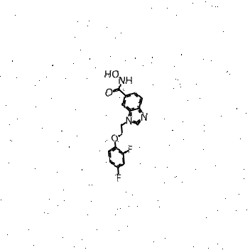 O=C(NO)c1ccc2ncn(CCOc3ccc(F)cc3F)c2c1